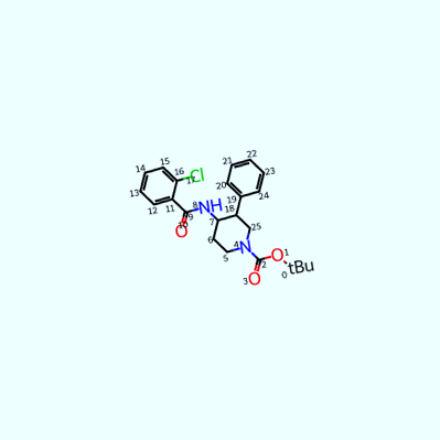 CC(C)(C)OC(=O)N1CCC(NC(=O)c2ccccc2Cl)C(c2ccccc2)C1